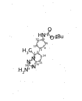 Cc1c(-c2ccc(NC(=O)OC(C)(C)C)cc2)ccc2nc(N)nn12